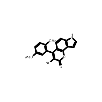 COc1ccc(OC)c(-c2c(C#N)c(=O)oc3c2ccc2[nH]ccc23)c1